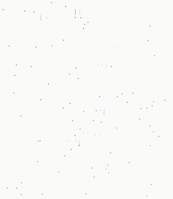 C=C(C)C(=O)OCC(OC(=O)C1CCN(C(=O)OCc2c([N+](=O)[O-])cccc2[N+](=O)[O-])CC1)c1ccccc1